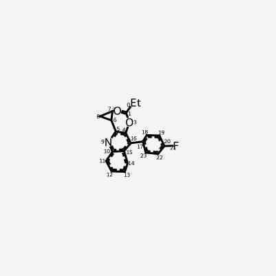 CCC(=O)Oc1c(C2CC2)nc2ccccc2c1-c1ccc(F)cc1